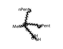 CCCCC/C=C\C/C=C\CCCCCCCCC1(CCCCCCCC/C=C\C/C=C\CCCCC)OC(CCNC)C(CCOCCCCCCNC(=O)CCS)O1